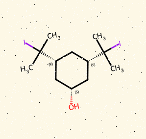 CC(C)(I)[C@@H]1C[C@H](O)C[C@H](C(C)(C)I)C1